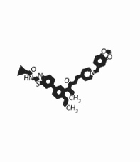 C/C=C/c1ccc(-c2ccc3nc(NC(=O)C4CC4)sc3c2)cc1/C(=C\C)C(=O)CCC1CCN(Cc2ccc3c(c2)OCO3)CC1